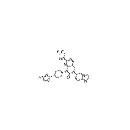 O=C1N(c2ccc3nccn3c2)Cc2cnc(NCC(F)(F)F)nc2N1c1ccc(-c2nc[nH]n2)cc1